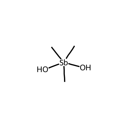 [CH3][Sb]([CH3])([CH3])([OH])[OH]